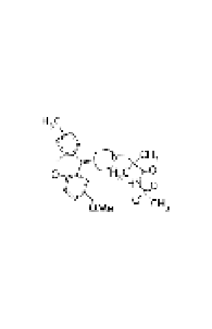 COCc1ccc2c(c1)C(=C1CCN(CC(C)(C)C(=O)NS(C)(=O)=O)CC1)c1ccc(C)cc1CO2